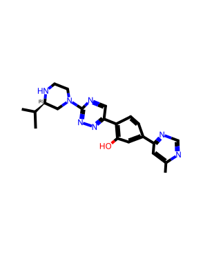 Cc1cc(-c2ccc(-c3cnc(N4CCN[C@H](C(C)C)C4)nn3)c(O)c2)ncn1